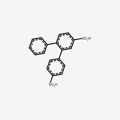 O=S(=O)(O)c1ccc(-c2cc(S(=O)(=O)O)ccc2-c2ccccc2)cc1